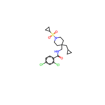 O=C(NCC1(CC2CC2)CCN(S(=O)(=O)C2CC2)CC1)c1ccc(Cl)cc1Cl